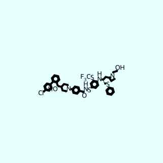 O=C(NSc1ccc(N[C@@H](CSc2ccccc2)CC2CCN2CCO)c(SC(F)(F)F)c1)c1ccc(N2CCC(C(O)c3ccccc3-c3ccc(Cl)cc3)CC2)cc1